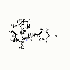 Cc1ccc(N/C=C2/C(=O)Nc3ccc4[nH]cnc4c32)cc1